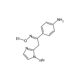 CCCn1ccnc1C/C(=N\OCC)c1ccc(N)cc1